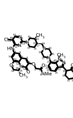 CNC(=O)COc1cc2cc(Nc3nc(N4CC[C@H](CN5CCN(c6cccc7c(C8CCC(=O)NC8=O)nn(C)c67)CC5)[C@H](C)C4)ncc3Cl)cc3c2n(c1=O)[C@H](C)CO3